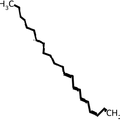 C=C/C=C\C=CC=CC=CCCCCC[CH]CCCCCC